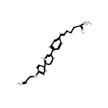 C=CCOc1ccc(-c2ccc(-c3ccc(C=CCCCC(C)F)cc3)cn2)cc1